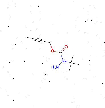 CC#CCOC(=O)N(N)C(C)(C)C